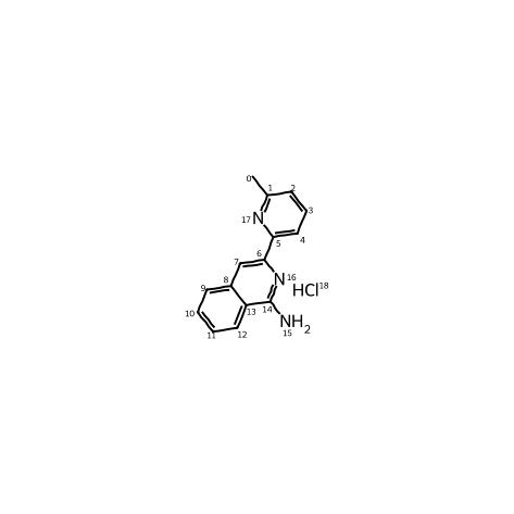 Cc1cccc(-c2cc3ccccc3c(N)n2)n1.Cl